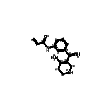 C=CC(=O)Nc1cccc(C(=N)C2=C(N)CCNC2)c1